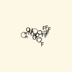 C[C@@H]1CCCC[C@H]1C(=O)N1CC[C@@]2(S(=O)(=O)c3ccc(F)cc3)c3ccc(C(F)(C(F)(F)F)C(F)(F)F)cc3CC[C@@H]12